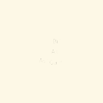 [As-3].[As-3].[Bi+3].[Ga+3]